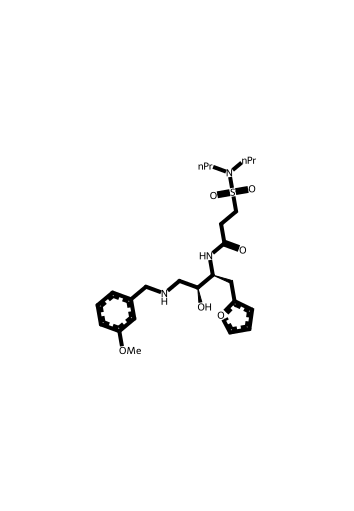 CCCN(CCC)S(=O)(=O)CCC(=O)N[C@@H](Cc1ccco1)[C@@H](O)CNCc1cccc(OC)c1